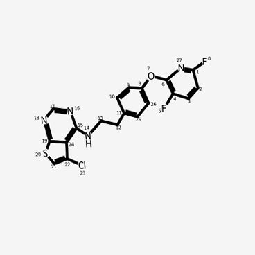 Fc1ccc(F)c(Oc2ccc(CCNc3ncnc4scc(Cl)c34)cc2)n1